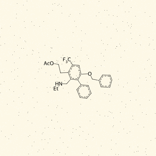 CCNCc1c(CCOC(C)=O)c(C(F)(F)F)cc(OCc2ccccc2)c1-c1ccccc1